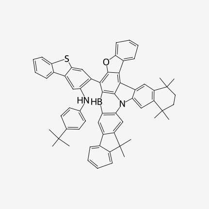 CC(C)(C)c1ccc(Nc2cc3c(cc2-c2c4c5c(c6cc7c(cc6n5-c5cc6c(cc5B4)-c4ccccc4C6(C)C)C(C)(C)CCC7(C)C)c4c2oc2ccccc24)sc2ccccc23)cc1